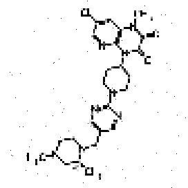 C[C@H]1CN(C)CCN1Cc1cnc(N2CCC(n3c(=O)c(=O)n(C)c4cc(Cl)cnc43)CC2)nc1